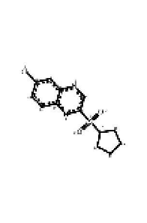 O=S(=O)(c1cnc2cc(Cl)ccc2n1)C1CCCC1